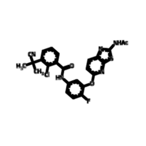 CC(=O)Nc1nc2ccc(Oc3cc(NC(=O)c4cccc(C(C)(C)C#N)c4Cl)ccc3F)nc2s1